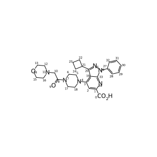 O=C(O)c1cc(N2CCN(C(=O)CN3CCOCC3)CC2)c2c(C3CCC3)nn(-c3ccccc3)c2n1